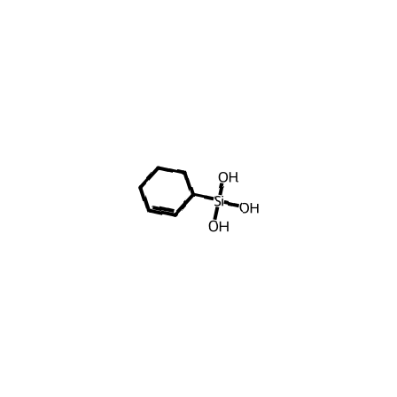 O[Si](O)(O)C1C=CCCC1